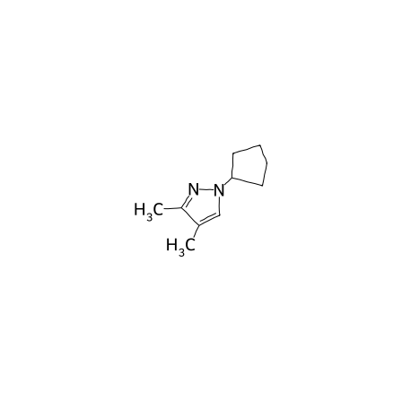 Cc1cn(C2CCCC2)nc1C